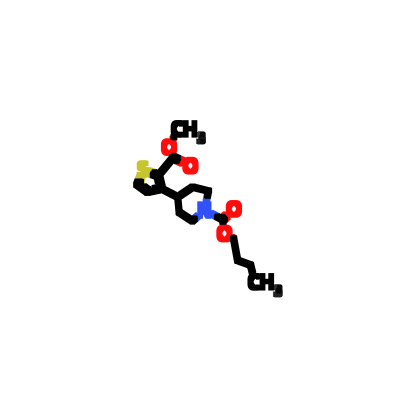 CCCCOC(=O)N1CCC(c2ccsc2C(=O)OC)CC1